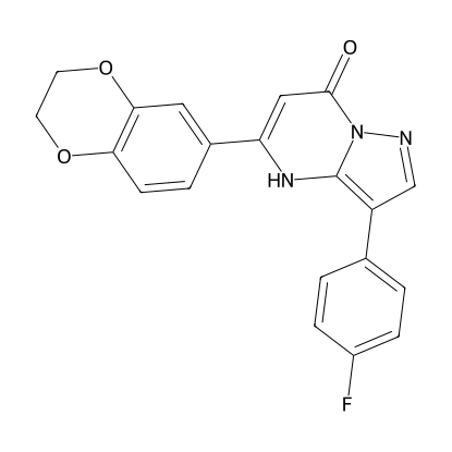 O=c1cc(-c2ccc3c(c2)OCCO3)[nH]c2c(-c3ccc(F)cc3)cnn12